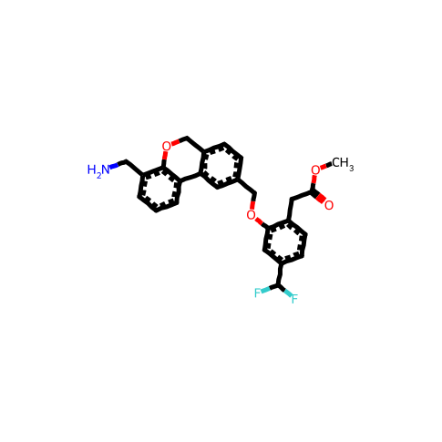 COC(=O)Cc1ccc(C(F)F)cc1OCc1ccc2c(c1)-c1cccc(CN)c1OC2